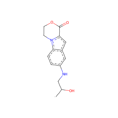 [CH2]C(O)CNc1ccc2c(c1)cc1n2CCOC1=O